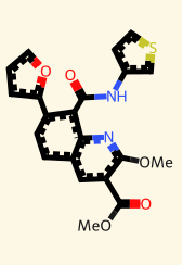 COC(=O)c1cc2ccc(-c3ccco3)c(C(=O)Nc3ccsc3)c2nc1OC